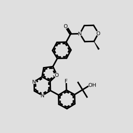 C[C@H]1CN(C(=O)c2ccc(-c3cc4ncnc(-c5cccc(C(C)(C)O)c5F)c4o3)cc2)CCO1